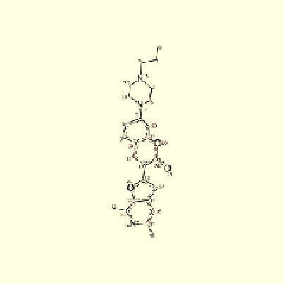 CCCN1CCN(c2ccc3cc(-c4cc5cc(C)nc(C)c5o4)c(=O)oc3c2)CC1